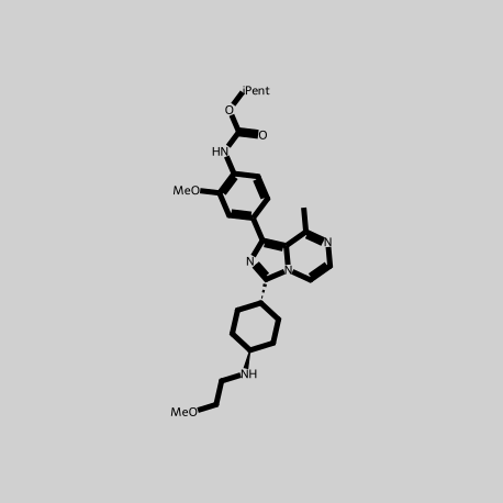 CCCC(C)OC(=O)Nc1ccc(-c2nc([C@H]3CC[C@H](NCCOC)CC3)n3ccnc(C)c23)cc1OC